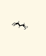 S=[C]CC=S